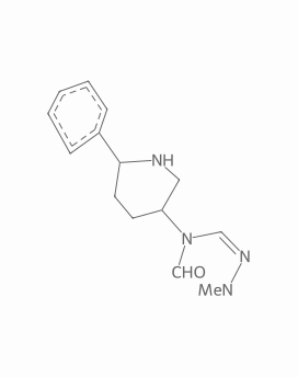 CN/N=C\N(C=O)C1CCC(c2ccccc2)NC1